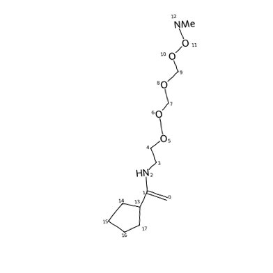 C=C(NCCOOCOCOONC)C1CCCC1